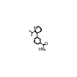 CNC(=O)c1cccc(-c2cccnc2C(C)C)c1